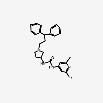 CCc1cc(NC(=O)NC2CCN(CCC(c3ccccc3)c3ccccc3)C2)cc(C)n1